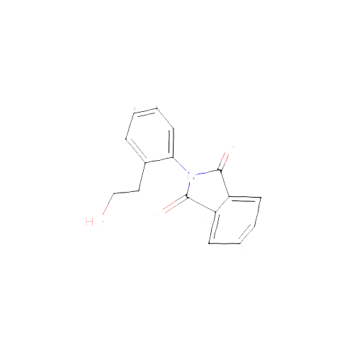 O=C1c2ccccc2C(=O)N1c1ccccc1CCO